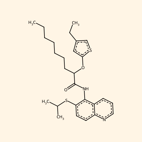 CCCCCCCC(Oc1cc(CC)cs1)C(=O)Nc1c(SC(C)C)ccc2ncccc12